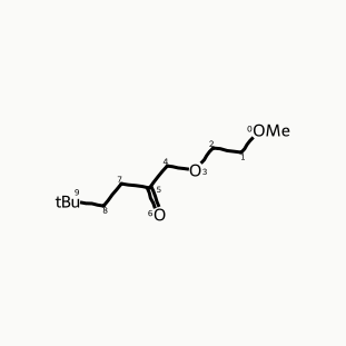 COCCOCC(=O)CCC(C)(C)C